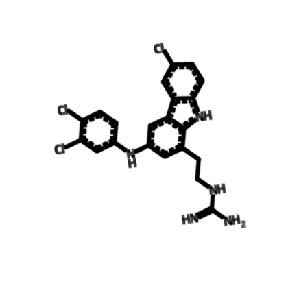 N=C(N)NCCc1cc(Nc2ccc(Cl)c(Cl)c2)cc2c1[nH]c1ccc(Cl)cc12